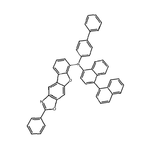 c1ccc(-c2ccc(N(c3ccc(-c4cccc5ccccc45)c4ccccc34)c3cccc4c3oc3cc5oc(-c6ccccc6)nc5cc34)cc2)cc1